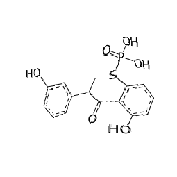 CC(C(=O)c1c(O)cccc1SP(=O)(O)O)c1cccc(O)c1